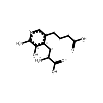 Nc1ncc(CCCC(=O)O)c(CC(N)C(=O)O)c1O